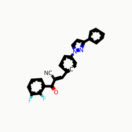 N#C/C(=C\c1ccc(-n2ccc(-c3ccccc3)n2)cc1)C(=O)c1cccc(F)c1F